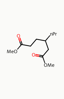 CCCC(CCC(=O)OC)CC(=O)OC